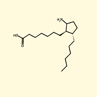 CCCCCC[C@H]1CCC(N)[C@@H]1CCCCCCC(=O)O